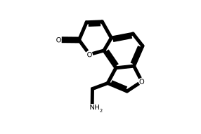 NCc1coc2ccc3ccc(=O)oc3c12